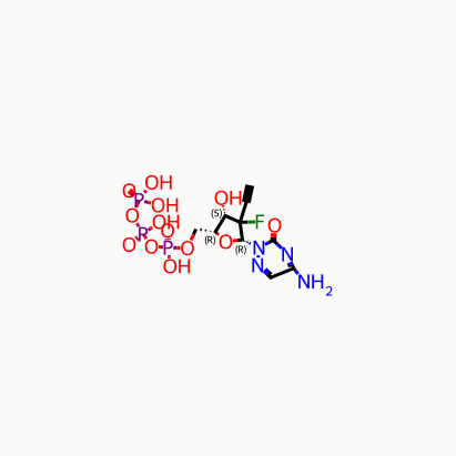 C#CC1(F)[C@@H](O)[C@@H](COP(=O)(O)OP(=O)(O)OP(=O)(O)O)O[C@H]1n1ncc(N)nc1=O